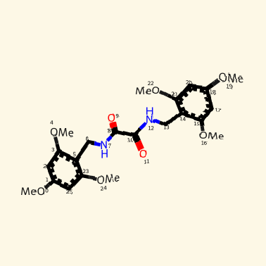 COc1cc(OC)c(CNC(=O)C(=O)NCc2c(OC)cc(OC)cc2OC)c(OC)c1